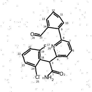 NC(=O)C(c1cccc(-c2ccccc2C=O)n1)c1c(F)cccc1Cl